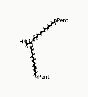 CCCCCC=CCC=CCCCCCCCCOC(OCCCCCCCCC=CCC=CCCCCC)C(C)O